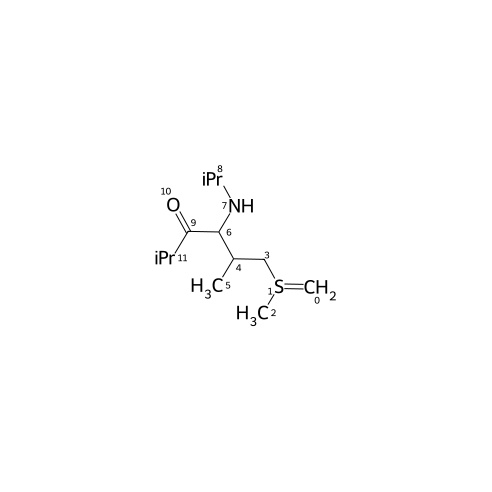 C=S(C)CC(C)C(NC(C)C)C(=O)C(C)C